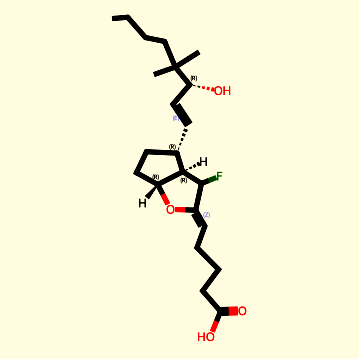 CCCCC(C)(C)[C@H](O)/C=C/[C@H]1CC[C@H]2O/C(=C\CCCC(=O)O)C(F)[C@H]12